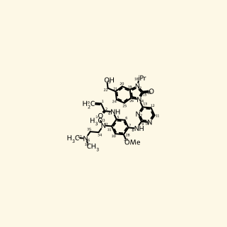 C=CC(=O)Nc1cc(Nc2nccc(-n3c(=O)n(C(C)C)c4cc(CO)ccc43)n2)c(OC)cc1N(C)CCN(C)C